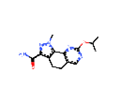 CC(C)Oc1ncc2c(n1)-c1c(c(C(N)=O)nn1C)CC2